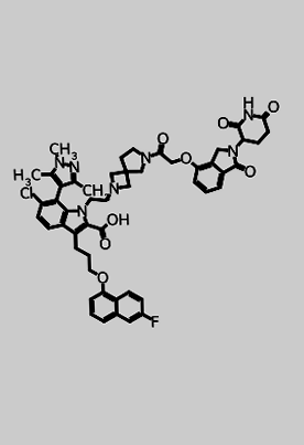 Cc1nn(C)c(C)c1-c1c(Cl)ccc2c(CCCOc3cccc4cc(F)ccc34)c(C(=O)O)n(CCN3CC4(CCN(C(=O)COc5cccc6c5CN(C5CCC(=O)NC5=O)C6=O)C4)C3)c12